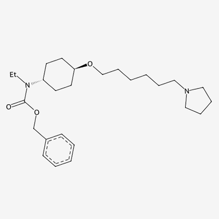 CCN(C(=O)OCc1ccccc1)[C@H]1CC[C@H](OCCCCCCN2CCCC2)CC1